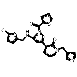 O=C(c1cccs1)n1nc(-c2cccn(Cc3ccoc3)c2=O)cc1NCc1ccc(Cl)s1